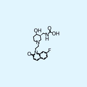 O=C(O)NC[C@H]1CN(CCn2c(=O)ccc3ccc(F)cc32)CC[C@H]1O